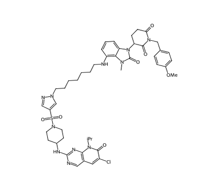 COc1ccc(CN2C(=O)CCC(n3c(=O)n(C)c4c(NCCCCCCCn5cc(S(=O)(=O)N6CCC(Nc7ncc8cc(Cl)c(=O)n(C(C)C)c8n7)CC6)cn5)cccc43)C2=O)cc1